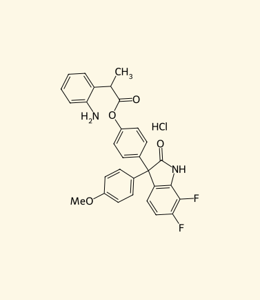 COc1ccc(C2(c3ccc(OC(=O)C(C)c4ccccc4N)cc3)C(=O)Nc3c2ccc(F)c3F)cc1.Cl